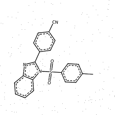 Cc1ccc(S(=O)(=O)n2c(-c3ccc(C#N)cc3)nc3ccccc32)cc1